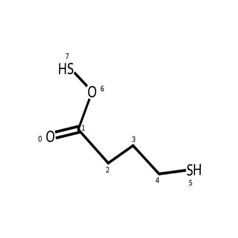 O=C(CCCS)OS